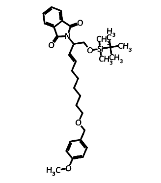 COc1ccc(COCCCCCCC=CC(CO[Si](C)(C)C(C)(C)C)N2C(=O)c3ccccc3C2=O)cc1